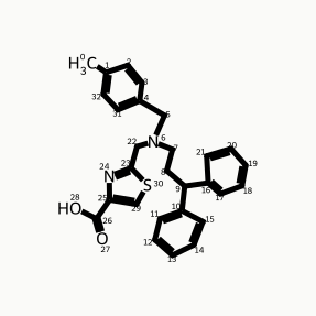 Cc1ccc(CN(CCC(c2ccccc2)c2ccccc2)Cc2nc(C(=O)O)cs2)cc1